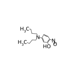 CCCCN(CCCC)c1ccc(N=O)c(O)c1